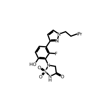 CC(C)CCn1ccc(-c2ccc(O)c(N3CC(=O)NS3(=O)=O)c2F)n1